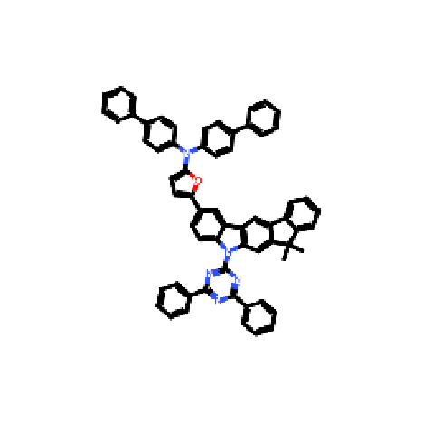 CC1(C)c2ccccc2-c2cc3c4cc(-c5ccc(N(c6ccc(-c7ccccc7)cc6)c6ccc(-c7ccccc7)cc6)o5)ccc4n(-c4nc(-c5ccccc5)nc(-c5ccccc5)n4)c3cc21